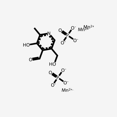 Cc1ncc(CO)c(C=O)c1O.O=P([O-])([O-])[O-].O=P([O-])([O-])[O-].[Mn+2].[Mn+2].[Mn+2]